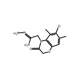 Cc1cc2c(c(C)c1Cl)N(C/C(N)=N/N)C(=O)CO2